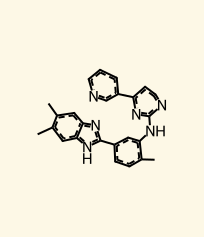 Cc1cc2nc(-c3ccc(C)c(Nc4nccc(-c5cccnc5)n4)c3)[nH]c2cc1C